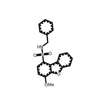 COc1ccc(S(=O)(=O)NCc2ccccc2)c2c1oc1ccccc12